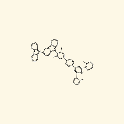 Cc1ccccc1-c1cc(-c2ccc(-c3cc(C)c(-n4c5ccccc5c5cc(-n6c7ccccc7c7ccccc76)ccc54)c(C)c3)cc2)nc(-c2ccccc2C)n1